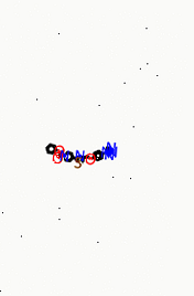 O=C(OC1CCCCC1)N1CCC(c2nc(COc3ccc(-n4cnnn4)cc3)cs2)CC1